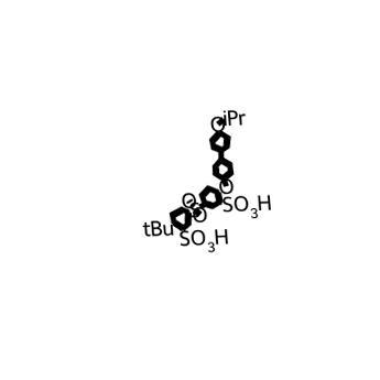 CC(C)Oc1ccc(-c2ccc(Oc3ccc(S(=O)(=O)c4ccc(C(C)(C)C)c(S(=O)(=O)O)c4)cc3S(=O)(=O)O)cc2)cc1